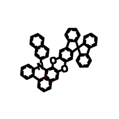 c1ccc(-c2ccccc2N(c2ccc3ccccc3c2)c2cccc3c2Oc2cc4c(cc2O3)C2(c3ccccc3-c3ccccc32)c2ccccc2-4)cc1